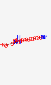 [N-]=[N+]=NCCOCCOCCOCCOCCOCCOCCOCCOCCOCCOCCOCCNC(=O)CC[C@H](NC(=O)c1ccc(OCCCCCCCCCC(=O)O)cc1)C(=O)O